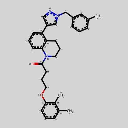 Cc1cccc(Cn2cc(-c3cccc4c3CCCN4C(=O)CCCOc3cccc(C)c3C)cn2)c1